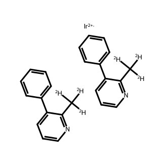 [2H]C([2H])([2H])c1ncccc1-c1ccccc1.[2H]C([2H])([2H])c1ncccc1-c1ccccc1.[Ir+2]